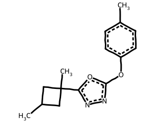 Cc1ccc(Oc2nnc(C3(C)CC(C)C3)o2)cc1